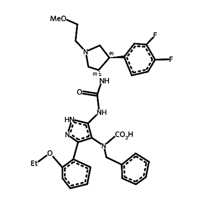 CCOc1ccccc1-c1n[nH]c(NC(=O)N[C@@H]2CN(CCOC)C[C@H]2c2ccc(F)c(F)c2)c1N(Cc1ccccc1)C(=O)O